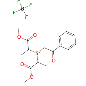 COC(=O)C(C)[S+](CC(=O)c1ccccc1)C(C)C(=O)OC.F[B-](F)(F)F